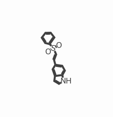 O=S(=O)(C=Cc1ccc2[nH]ccc2c1)c1ccccc1